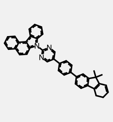 CC1(C)C2=C(CCC=C2)c2ccc(-c3ccc(-c4cnc(-n5c6ccccc6c6c7ccccc7ccc65)nc4)cc3)cc21